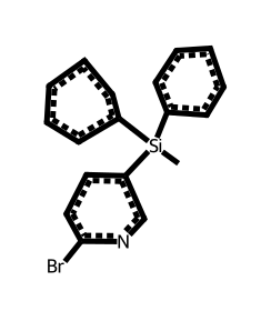 C[Si](c1ccccc1)(c1ccccc1)c1ccc(Br)nc1